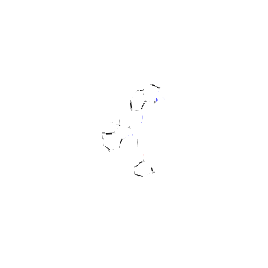 CC1(C)c2ccccc2N(CCOc2ccccc2)C12C=Nc1c(ccc3ccncc13)O2